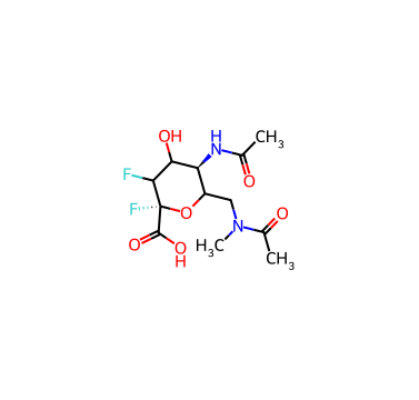 CC(=O)N[C@H]1C(CN(C)C(C)=O)O[C@@](F)(C(=O)O)C(F)C1O